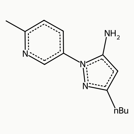 CCCCc1cc(N)n(-c2ccc(C)nc2)n1